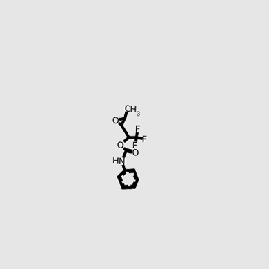 CC1OC1C(OC(=O)Nc1ccccc1)C(F)(F)F